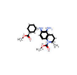 COC(=O)[C@H]1CCC[C@H](Nc2ccc3c(c2N)CC[C@H](C)N3C(=O)OC)C1